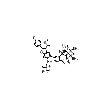 BC1(B)BC2(B)BC(B)(B)C12NC(=O)c1cc(-c2cc3c(C(=O)NC)c(-c4ccc(F)cc4)oc3nc2NCC(F)(F)C(F)(F)F)ccc1OC